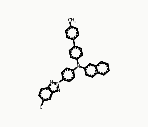 Cc1ccc(-c2ccc(N(c3ccc(-n4nc5ccc(Cl)cc5n4)cc3)c3ccc4ccccc4c3)cc2)cc1